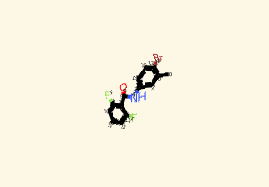 Cc1cc(NC(=O)c2c(F)cccc2F)ccc1Br